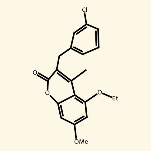 CCOc1cc(OC)cc2oc(=O)c(Cc3cccc(Cl)c3)c(C)c12